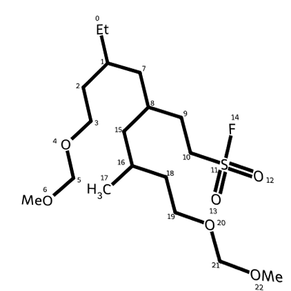 CCC(CCOCOC)CC(CCS(=O)(=O)F)CC(C)CCOCOC